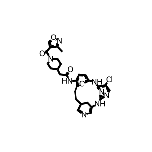 Cc1nocc1C(=O)N1CCC(CC(=O)Nc2ccc3cc2CCC2C=NC=C(C2)Nc2ncc(Cl)c(n2)N3)CC1